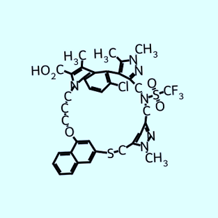 Cc1c(C(=O)O)n2c3ccc(Cl)c(c13)-c1c(nn(C)c1C)CN(S(=O)(=O)C(F)(F)F)Cc1cc(n(C)n1)CSc1cc(c3ccccc3c1)OCCC2